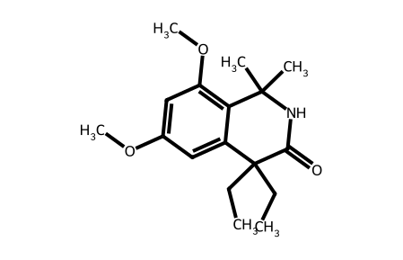 CCC1(CC)C(=O)NC(C)(C)c2c(OC)cc(OC)cc21